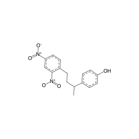 CC(CCc1ccc([N+](=O)[O-])cc1[N+](=O)[O-])c1ccc(O)cc1